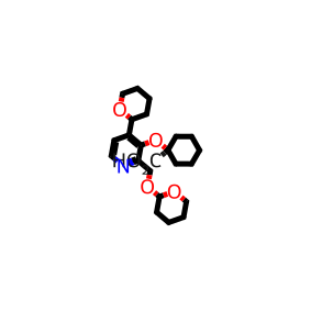 O=C(O)C1(Oc2c(C3CCCCO3)ccnc2COC2CCCCO2)CCCCC1